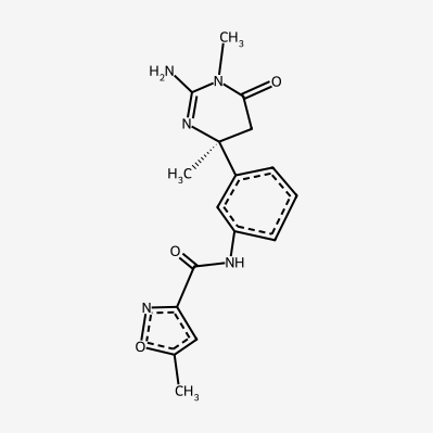 Cc1cc(C(=O)Nc2cccc([C@]3(C)CC(=O)N(C)C(N)=N3)c2)no1